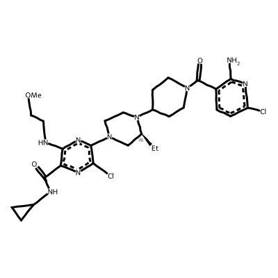 CC[C@H]1CN(c2nc(NCCOC)c(C(=O)NC3CC3)nc2Cl)CCN1C1CCN(C(=O)c2ccc(Cl)nc2N)CC1